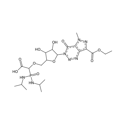 CCOC(=O)c1nn(C)c2c(=O)n(C3OC(COC(C(=O)O)P(=O)(NC(C)C)NC(C)C)C(O)C3O)nnc12